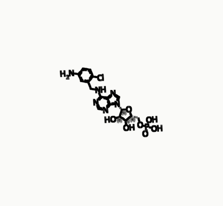 Nc1ccc(Cl)c(CNc2ncnc3c2ncn3[C@@H]2O[C@H](COP(=O)(O)O)[C@@H](O)[C@H]2O)c1